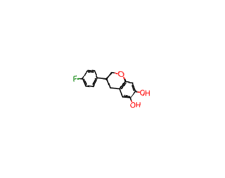 Oc1cc2c(cc1O)OCC(c1ccc(F)cc1)C2